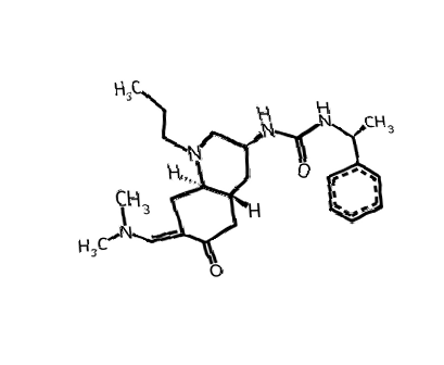 CCCN1C[C@@H](NC(=O)N[C@@H](C)c2ccccc2)C[C@@H]2CC(=O)/C(=C/N(C)C)C[C@H]21